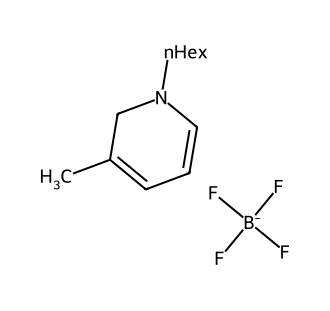 CCCCCCN1C=CC=C(C)C1.F[B-](F)(F)F